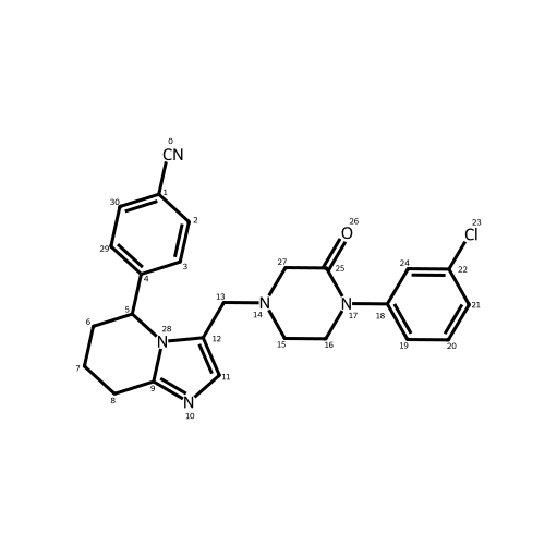 N#Cc1ccc(C2CCCc3ncc(CN4CCN(c5cccc(Cl)c5)C(=O)C4)n32)cc1